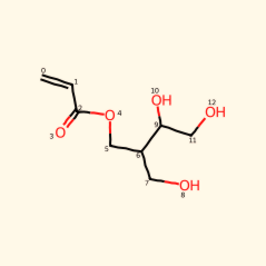 C=CC(=O)OCC(CO)C(O)CO